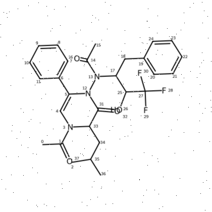 CC(=O)N1C=C(c2ccccc2)N(N(C(C)=O)C(Cc2ccccc2)C(O)C(F)(F)F)C(=O)C1CC(C)C